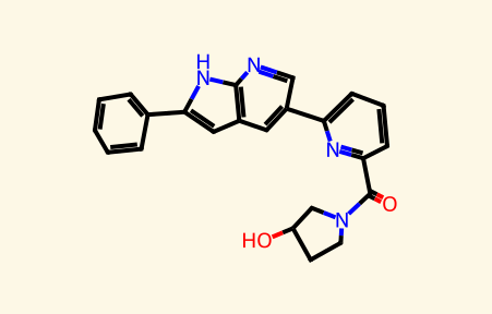 O=C(c1cccc(-c2cnc3[nH]c(-c4ccccc4)cc3c2)n1)N1CCC(O)C1